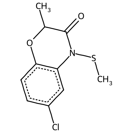 CSN1C(=O)C(C)Oc2ccc(Cl)cc21